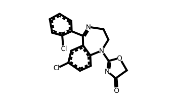 O=C1COC(N2CCN=C(c3ccccc3Cl)c3cc(Cl)ccc32)=N1